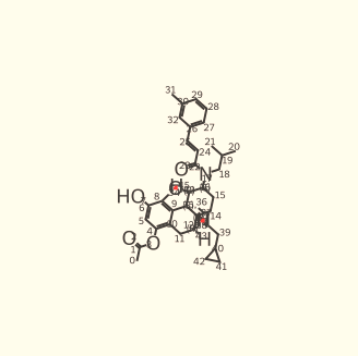 CC(=O)Oc1cc(O)c2c3c1C[C@@H]1[C@@H]4CC[C@H](N(CC(C)C)C(=O)C=Cc5cccc(C)c5)[C@H](O2)[C@]34CCN1CC1CC1